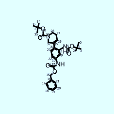 CC(C)(C)OC(=O)Nc1cc(NC(=O)OCc2ccccc2)ccc1C1=CCCN(C(=O)OC(C)(C)C)C1